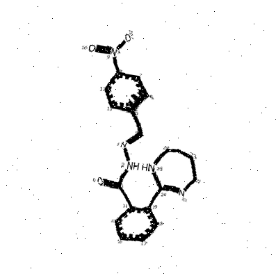 O=C(N/N=C/c1ccc([N+](=O)[O-])cc1)c1ccccc1C1=NCCCN1